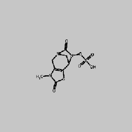 Cn1c2c(sc1=O)C1CN(C2)C(=O)N1OS(=O)(=O)O